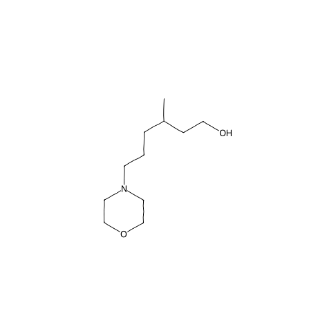 CC(CCO)CCCN1CCOCC1